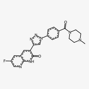 CN1CCN(C(=O)c2ccc(-n3cc(-c4cc5cc(F)cnc5[nH]c4=O)nn3)cc2)CC1